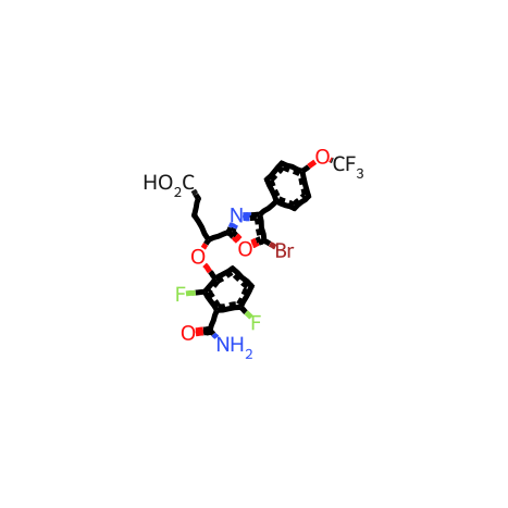 NC(=O)c1c(F)ccc(OC(CCC(=O)O)c2nc(-c3ccc(OC(F)(F)F)cc3)c(Br)o2)c1F